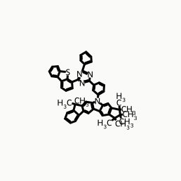 CC1(C)c2ccccc2-c2cc3c4cc5c(cc4n(-c4cccc(-c6nc(-c7ccccc7)nc(-c7cccc8c7sc7ccccc78)n6)c4)c3cc21)C(C)(C)C(C)(C)C5(C)C